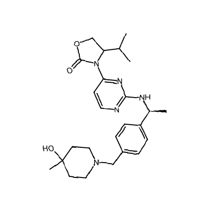 CC(C)C1COC(=O)N1c1ccnc(N[C@@H](C)c2ccc(CN3CCC(C)(O)CC3)cc2)n1